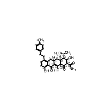 Cc1ccc(CCc2ccc(O)c3c2C[C@@H]2C[C@@H]4[C@@H](N(C)C)C(O)=C(C(N)=O)C(=O)[C@]4(O)C(O)=C2C3=O)cc1